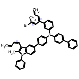 C=C/C=C\c1c(C)n(-c2ccccc2)c2ccc(-c3ccc(N(c4ccc(-c5ccccc5)cc4)c4cccc(C(/C=C(\C)Br)=C/C=C)c4)cc3)cc12